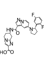 O=C(O)c1cn2c(n1)CC(NC(=O)c1cnn3ccc(N4CCC[C@@H]4c4cc(F)ccc4F)cc13)CC2